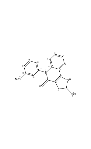 CCCCC1Cc2c(c3cccnc3n(-c3cccc(SC)c3)c2=O)O1